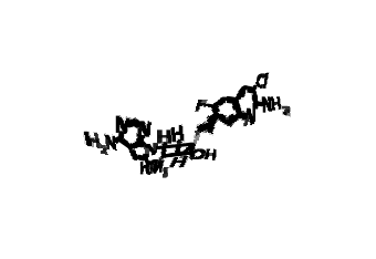 Cc1cc2c(N)ncnc2n1[C@@H]1[C@H]2C3C[C@@]2(CCc2cc4nc(N)c(Cl)cc4cc2F)[C@@H](O)[C@@]31O